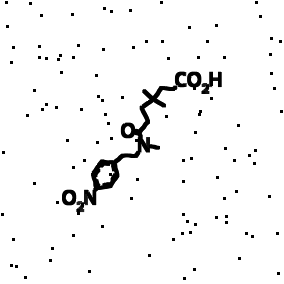 CN(CCc1ccc([N+](=O)[O-])cc1)C(=O)CCC(C)(C)CCC(=O)O